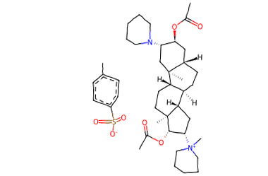 CC(=O)O[C@H]1C[C@@H]2CC[C@@H]3[C@H](CC[C@@]4(C)[C@H]3C[C@H]([N+]3(C)CCCCC3)[C@@H]4OC(C)=O)[C@@]2(C)C[C@@H]1N1CCCCC1.Cc1ccc(S(=O)(=O)[O-])cc1